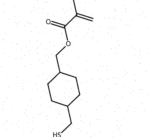 C=C(C)C(=O)OCC1CCC(CS)CC1